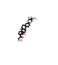 CCC(=O)C12CCC3(CC1)[C@@H]1CCC4=C(CCC5(C4)OCC(C)(C)CO5)C1=CC[C@]23C